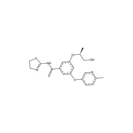 Cc1ccc(Sc2cc(O[C@@H](C)CO)cc(C(=O)NC3=NCCS3)c2)cn1